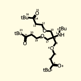 CC(C)(C)NC(COCCC(=O)C(C)(C)C)(COCCC(=O)C(C)(C)C)COCCC(=O)C(C)(C)C